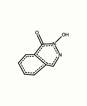 O=c1c2ccccc2cnn1O